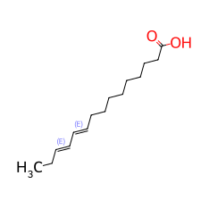 CC/C=C/C=C/CCCCCCCCC(=O)O